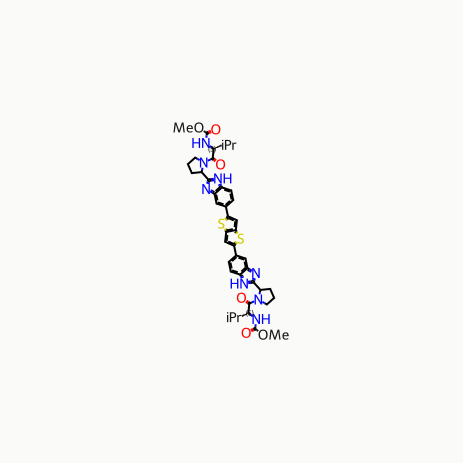 COC(=O)N[C@H](C(=O)N1CCCC1c1nc2cc(-c3cc4sc(-c5ccc6[nH]c(C7CCCN7C(=O)[C@@H](NC(=O)OC)C(C)C)nc6c5)cc4s3)ccc2[nH]1)C(C)C